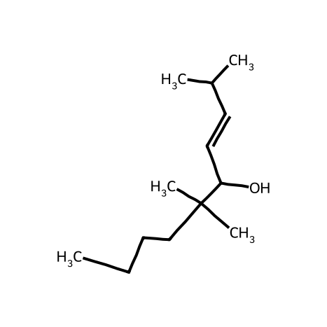 CCCCC(C)(C)C(O)/C=C/C(C)C